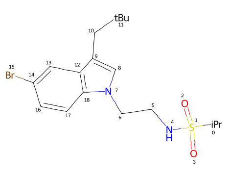 CC(C)S(=O)(=O)NCCn1cc(CC(C)(C)C)c2cc(Br)ccc21